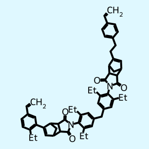 C=Cc1ccc(CCC2=CC3CC2C2C(=O)N(c4c(CC)cc(Cc5cc(CC)c(N6C(=O)C7C8C=C(c9cc(C=C)ccc9CC)C(C8)C7C6=O)c(CC)c5)cc4CC)C(=O)C32)cc1